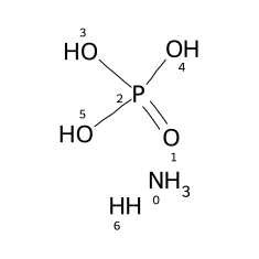 N.O=P(O)(O)O.[HH]